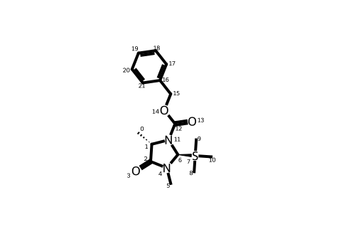 C[C@H]1C(=O)N(C)[C@H](S(C)(C)C)N1C(=O)OCc1ccccc1